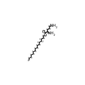 CCCCCCCCCCCCCCCCOC(=O)C(N)CCCN